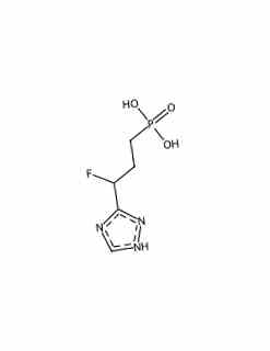 O=P(O)(O)CCC(F)c1nc[nH]n1